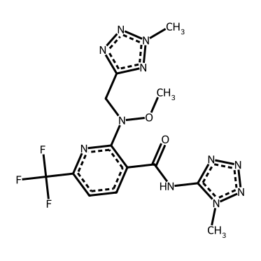 CON(Cc1nnn(C)n1)c1nc(C(F)(F)F)ccc1C(=O)Nc1nnnn1C